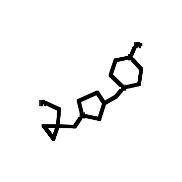 CC(C)CC1(CN2CCC(CN3CCN(C(C)C)CC3)C2)CC1